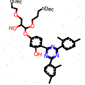 CCCCCCCCCCCCCOC(Oc1ccc(-c2nc(-c3ccc(C)cc3C)nc(-c3ccc(C)cc3C)n2)c(O)c1)C(O)COCCCCCCCCCCCC